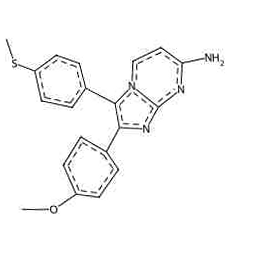 COc1ccc(-c2nc3nc(N)ccn3c2-c2ccc(SC)cc2)cc1